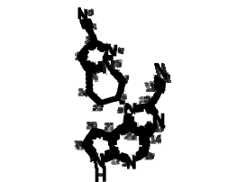 N#Cc1cc2n(n1)C[C@H](n1c(C#N)nc3cnc4[nH]ccc4c31)CC2